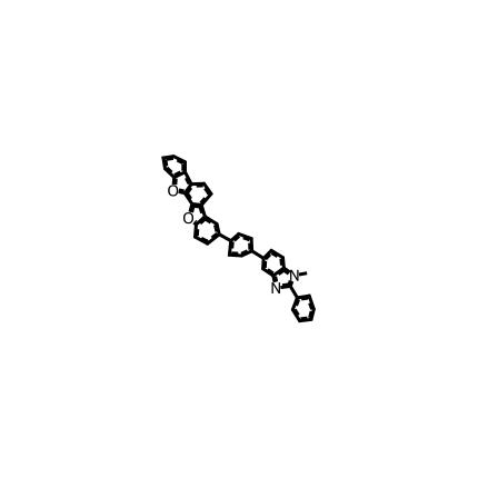 Cn1c(-c2ccccc2)nc2cc(-c3ccc(-c4ccc5oc6c(ccc7c8ccccc8oc76)c5c4)cc3)ccc21